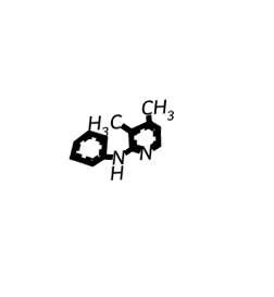 Cc1ccnc(Nc2ccccc2)c1C